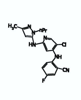 CCCn1nc(C)cc1Nc1cc(Nc2ccc(F)cc2C#N)c(Cl)cn1